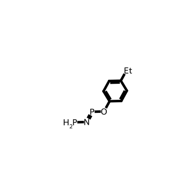 CCc1ccc(OP=NP)cc1